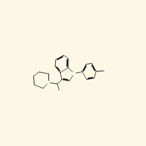 CC(c1cn(-c2ccc(C(=O)O)cc2)c2ccccc12)N1CCCCC1